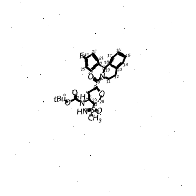 CC(C)(C)OC(=O)N[C@H]1C[C@H](C(=O)N2CCc3ccccc3[C@@H]2c2ccc(F)cc2)OC[C@@H]1[S@@](C)(=N)=O